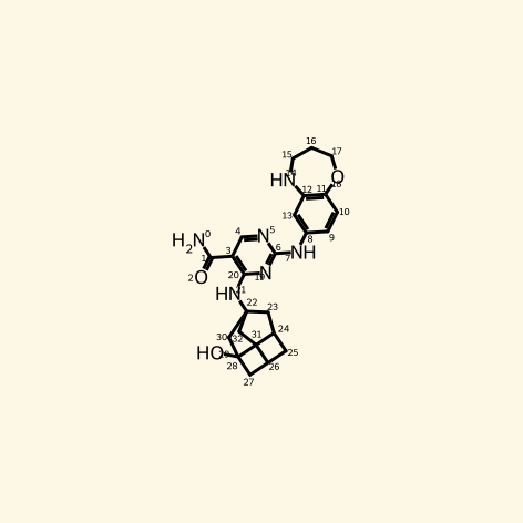 NC(=O)c1cnc(Nc2ccc3c(c2)NCCCO3)nc1NC12CC3CC4CC(O)(C1)C34C2